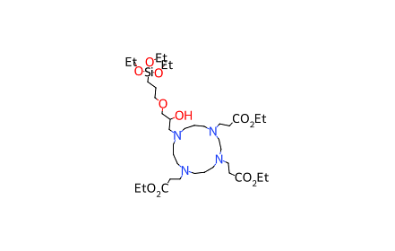 CCOC(=O)CCN1CCCN(CCC(=O)OCC)CCN(CCC(=O)OCC)CCCN(CC(O)COCCC[Si](OCC)(OCC)OCC)CCC1